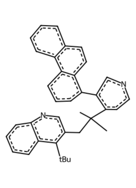 CC(C)(C)c1c(CC(C)(C)c2ccncc2-c2cccc3c2ccc2ccccc23)cnc2ccccc12